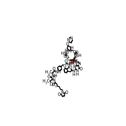 CC(C)[C@H](NC(=O)CCCCCN1C(=O)C=CC1=O)C(=O)N[C@@H](C)C(=O)Nc1ccc(COC(=O)N(C)Cc2ccccc2CC(=O)Nc2nc3c(ncn3[C@@H]3O[C@H]4CO[P@@](=O)(S)O[C@H]5C[C@H](Oc6ccncn6)C[C@@H]5CO[P@@](=O)(S)O[C@@H]3[C@@H]4O)c(=O)[nH]2)cc1